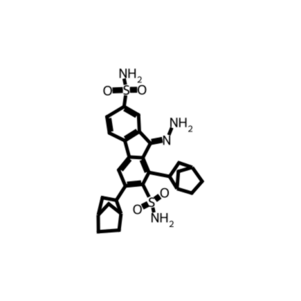 NN=C1c2cc(S(N)(=O)=O)ccc2-c2cc(C3CC4CCC3C4)c(S(N)(=O)=O)c(C3CC4CCC3C4)c21